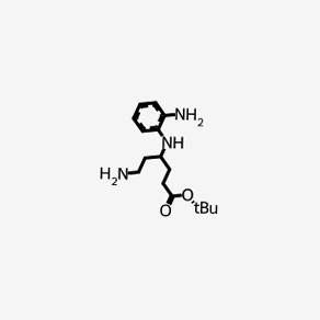 CC(C)(C)OC(=O)CCC(CCN)Nc1ccccc1N